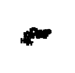 CC(C)NCc1cccc2c3cccc(NC(=O)c4cccc(C=S)c4)cc-3nc12